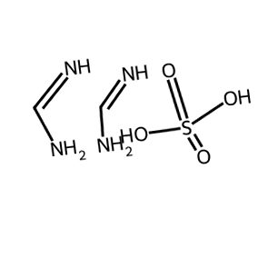 N=CN.N=CN.O=S(=O)(O)O